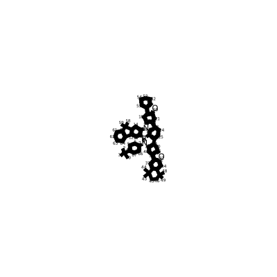 CC(C)(C)c1ccc(N2B3c4cc5c(cc4-n4c6cc7c(cc6c6ccc(c3c64)-c3cc4oc6cc8c(cc6c4cc32)C(C)(C)CCC8(C)C)oc2ccccc27)C(C)(C)c2ccccc2-5)cc1